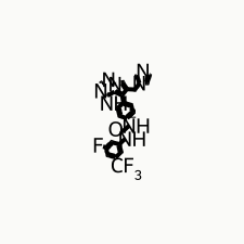 Nc1ncnn2cc(Cn3ccnc3)c(-c3ccc(NC(=O)Nc4cc(F)cc(C(F)(F)F)c4)cc3)c12